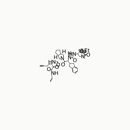 C#CCC[C@@H](NC(=O)[C@@H]1[C@H]2CCC[C@H]2CN1C(=O)[C@@H](NC(=O)N[C@H](CN(C)S(=O)(=O)CC)C(C)(C)C)C1Cc2ccccc2C1)C(=O)C(=O)NCC=C